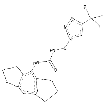 CC(F)(F)c1cnn(SNC(=O)Nc2c3c(cc4c2CCC4)CCC3)c1